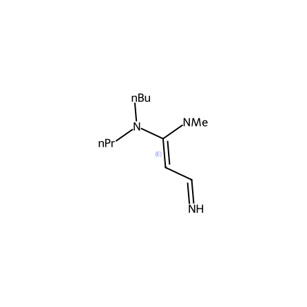 CCCCN(CCC)/C(=C/C=N)NC